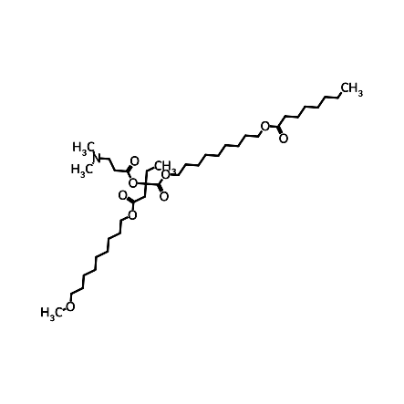 CCCCCCCC(=O)OCCCCCCCCCOC(=O)C(CC)(CC(=O)OCCCCCCCCCOC)OC(=O)CCN(C)C